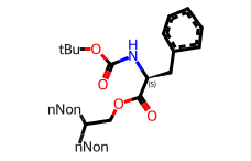 CCCCCCCCCC(CCCCCCCCC)COC(=O)[C@H](Cc1ccccc1)NC(=O)OC(C)(C)C